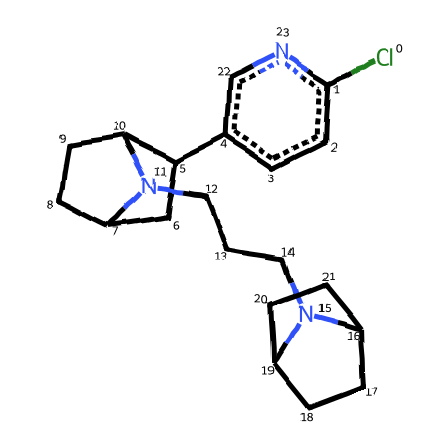 Clc1ccc(C2CC3CCC2N3CCCN2C3CCC2CC3)cn1